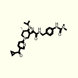 CC(C)n1nc(C(=O)NCc2ccc(NC(=O)N(C)C)cc2)c2c1[C@@H](C)CN(c1ccc(C(=O)C3CC3)cn1)C2